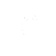 CC(C)(C)OC(=O)N1CCN(Cc2csc(-c3ccccc3)n2)CC1